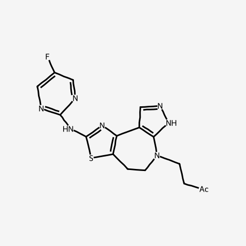 CC(=O)CCN1CCc2sc(Nc3ncc(F)cn3)nc2-c2cn[nH]c21